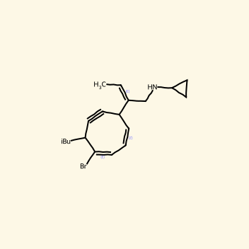 C/C=C(/CNC1CC1)C1C#CC(C(C)CC)/C(Br)=C\C=C/1